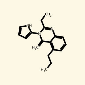 C=C1c2c(CCC)cccc2N=C(CC)N1c1ccc[nH]1